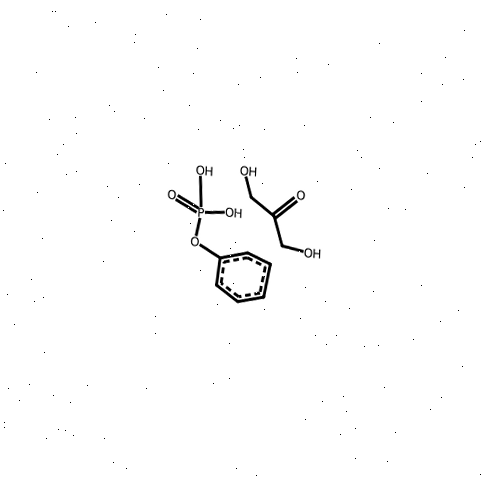 O=C(CO)CO.O=P(O)(O)Oc1ccccc1